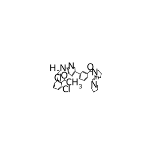 CC(Oc1cc(-c2cccc(C(=O)N3CCC[C@H]3CN3CCCC3)c2)cnc1N)c1c(Cl)cccc1Cl